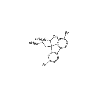 CCCCCCC(CCCCCC)CC1(C(O)CC)c2cc(Br)ccc2-c2ccc(Br)cc21